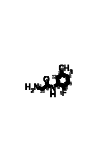 Cc1ccc(F)c(NC(=O)CN)c1